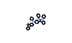 CC1(C)c2ccccc2-c2ccc(N(c3ccccc3)c3ccc4c5c6ccccc6n(-c6ccccc6)c5n(-c5ccccc5)c4c3)cc21